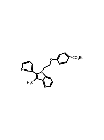 CCOC(=O)c1ccc(SCCn2c(-c3cccnc3)c(C)c3ccccc32)cc1